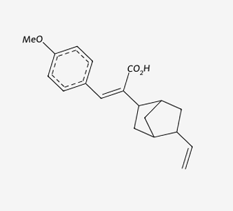 C=CC1CC2CC1CC2C(=Cc1ccc(OC)cc1)C(=O)O